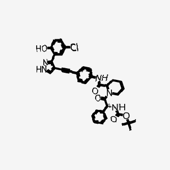 CC(C)(C)OC(=O)N[C@@H](C(=O)N1CCCCC1C(=O)Nc1ccc(C#Cc2c[nH]nc2-c2cc(Cl)ccc2O)cc1)c1ccccc1